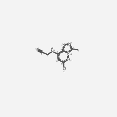 Cc1nnc2c(NCC#N)cc(Cl)nn12